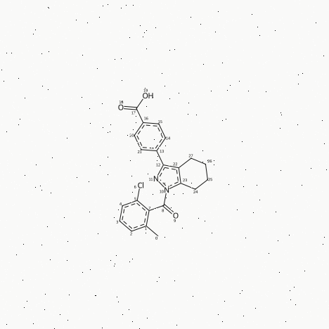 Cc1cccc(Cl)c1C(=O)n1nc(-c2ccc(C(=O)O)cc2)c2c1CCCC2